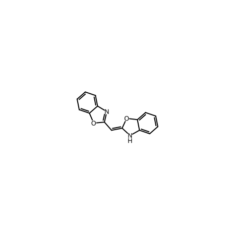 C(=C1Nc2ccccc2O1)c1nc2ccccc2o1